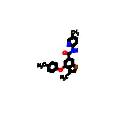 Cc1ccc(Oc2cc(C(=O)Nc3ccc(C)cn3)cc3scc(C)c23)cc1